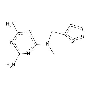 CN(Cc1cccs1)c1nc(N)nc(N)n1